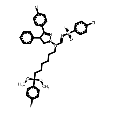 COC(CCCCCCN(C=NS(=O)(=O)c1ccc(Cl)cc1)N1CC(c2ccccc2)C(c2ccc(Cl)cc2)=N1)(OC)c1ccc(F)cc1